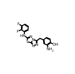 Nc1cc(Cc2nnc3sc(Nc4cccc(F)c4F)nn23)ccc1O